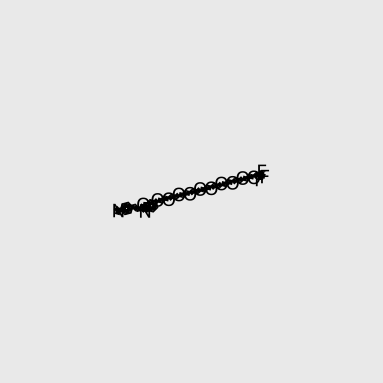 CN(C)c1ccc(C=Cc2nc3ccc(OCCOCCOCCOCCOCCOCCOCCOCCOCCOCC(F)(F)F)cc3o2)cc1